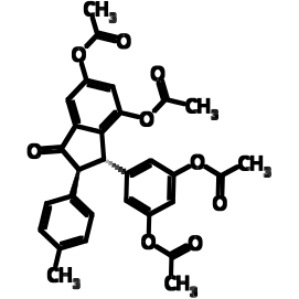 CC(=O)Oc1cc(OC(C)=O)cc([C@H]2c3c(OC(C)=O)cc(OC(C)=O)cc3C(=O)[C@@H]2c2ccc(C)cc2)c1